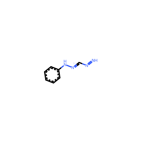 N=N/C=N/Nc1ccccc1